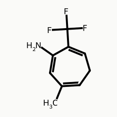 CC1=CCC=C(C(F)(F)F)C(N)=C1